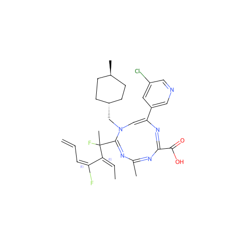 C=C/C=C(F)\C(=C/C)C(C)(F)c1nc(C)nc(C(=O)O)nc(-c2cncc(Cl)c2)cn1C[C@H]1CC[C@H](C)CC1